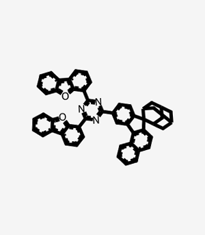 c1ccc2c3c(ccc2c1)C1(c2ccc(-c4nc(-c5cccc6c5oc5ccccc56)nc(-c5cccc6c5oc5ccccc56)n4)cc2-3)C2CC3CC(C2)CC1C3